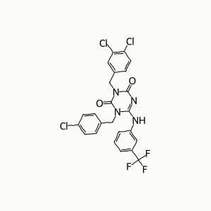 O=c1nc(Nc2cccc(C(F)(F)F)c2)n(Cc2ccc(Cl)cc2)c(=O)n1Cc1ccc(Cl)c(Cl)c1